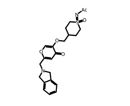 CC(=O)N=S1(=O)CCC(COc2coc(CN3Cc4ccccc4C3)cc2=O)CC1